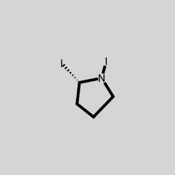 I[C@H]1CCCN1I